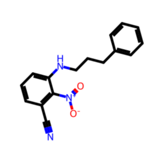 N#Cc1cccc(NCCCc2ccccc2)c1[N+](=O)[O-]